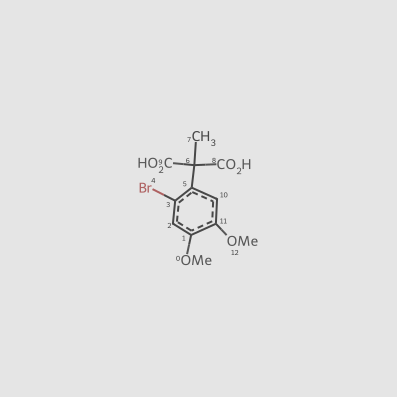 COc1cc(Br)c(C(C)(C(=O)O)C(=O)O)cc1OC